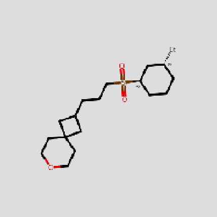 CC[C@@H]1CCC[C@@H](S(=O)(=O)CCCC2CC3(CCOCC3)C2)C1